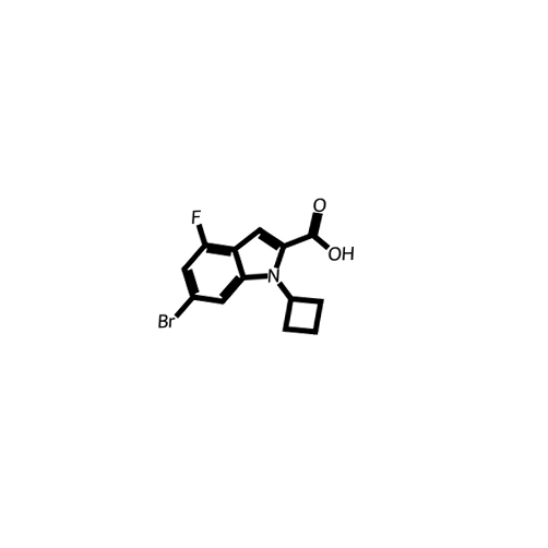 O=C(O)c1cc2c(F)cc(Br)cc2n1C1CCC1